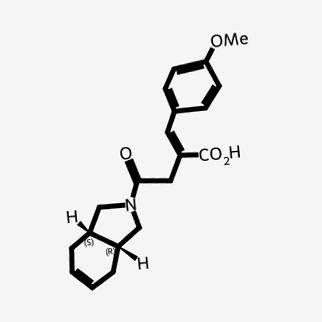 COc1ccc(C=C(CC(=O)N2C[C@H]3CC=CC[C@H]3C2)C(=O)O)cc1